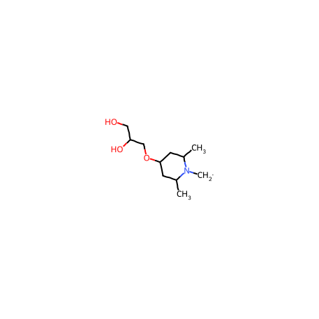 [CH2]N1C(C)CC(OCC(O)CO)CC1C